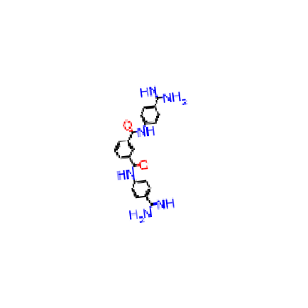 N=C(N)c1ccc(NC(=O)c2cccc(C(=O)Nc3ccc(C(=N)N)cc3)c2)cc1